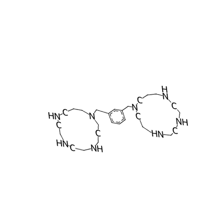 c1cc(CN2CCCNCCNCCNCCC2)cc(CN2CCCNCCNCCNCCC2)c1